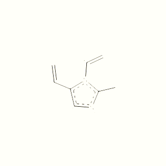 C=Cc1cnc(C)n1C=C